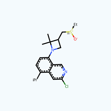 CC[S@@+]([O-])CC1CN(c2ccc(C(C)C)c3cc(Cl)ncc23)C1(C)C